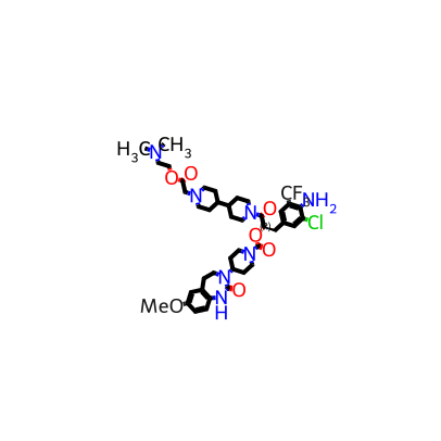 COc1ccc2c(c1)CCN(C1CCN(C(=O)O[C@H](Cc3cc(Cl)c(N)c(C(F)(F)F)c3)C(=O)N3CCC(C4CCN(CC(=O)OCCN(C)C)CC4)CC3)CC1)C(=O)N2